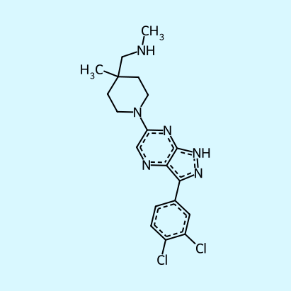 CNCC1(C)CCN(c2cnc3c(-c4ccc(Cl)c(Cl)c4)n[nH]c3n2)CC1